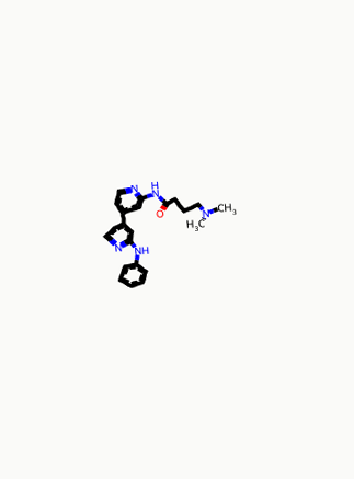 CN(C)CCCC(=O)Nc1cc(-c2ccnc(Nc3ccccc3)c2)ccn1